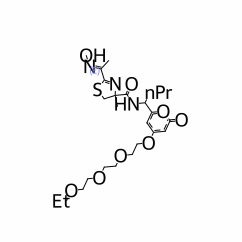 CCCC(NC(=O)C1(C)CSC(/C(C)=N/O)=N1)c1cc(OCCOCCOCCOCC)cc(=O)o1